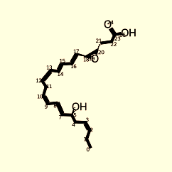 CC/C=C\C[C@H](O)/C=C/C=C\C\C=C/C=C/C=C/[C@@H]1O[C@H]1CCC(=O)O